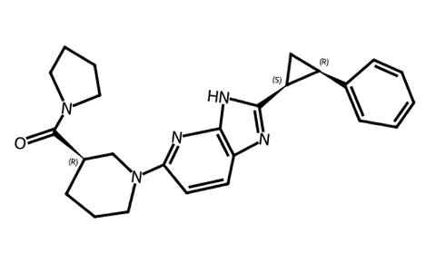 O=C([C@@H]1CCCN(c2ccc3nc([C@H]4C[C@H]4c4ccccc4)[nH]c3n2)C1)N1CCCC1